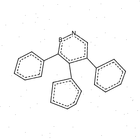 b1ncc(-c2ccccc2)c(-c2ccccc2)c1-c1ccccc1